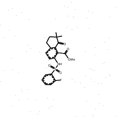 COC(=O)c1c(NS(=O)(=O)c2ccccc2F)ccc2c1C(=O)C(C)(C)CC2